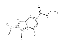 CCOC(=O)c1cc(C)n2c(I)c(C(C)C)nc2c1